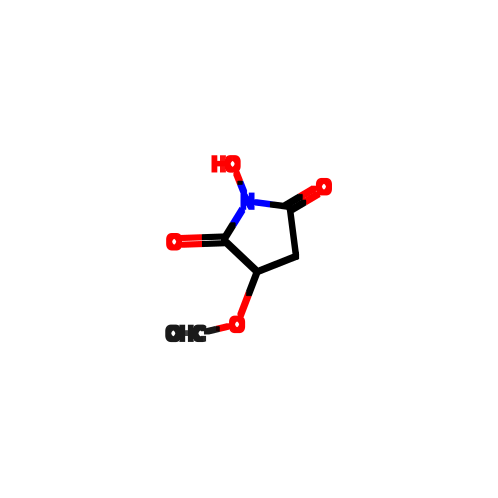 O=COC1CC(=O)N(O)C1=O